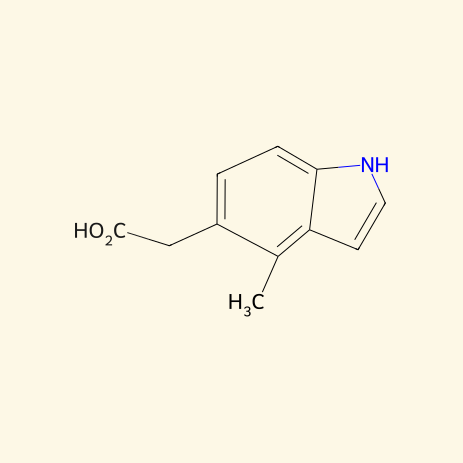 Cc1c(CC(=O)O)ccc2[nH]ccc12